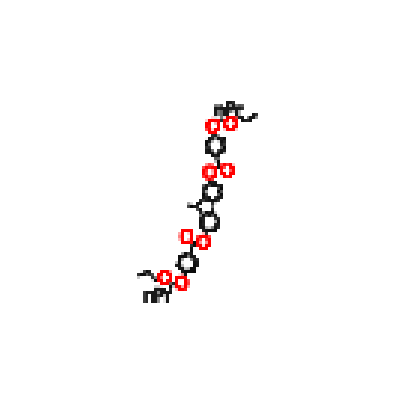 C=CCOC(CCC)Oc1ccc(C(=O)Oc2ccc3c(c2)C(C)c2cc(OC(=O)c4ccc(OC(CCC)OCC=C)cc4)ccc2-3)cc1